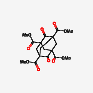 COC(=O)C12CC3(C(=O)OC)CC(C(=O)OC)(CC(C(=O)OC)(C1)C3=O)C2=O